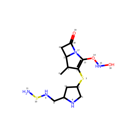 CC1C(SC2CNC(CNSN)C2)=C(ONO)N2C(=O)CC12